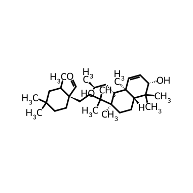 CC1CC(C)(C)CC[C@]1(C=O)CCC(C)(C)[C@]1(C)CC[C@H]2C(C)(C)[C@@H](O)C=C[C@]2(C)[C@H]1C[C@H](C)O